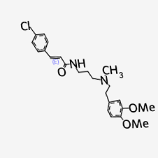 COc1ccc(CCN(C)CCCNC(=O)/C=C/c2ccc(Cl)cc2)cc1OC